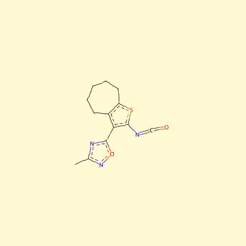 Cc1noc(-c2c(N=C=O)sc3c2CCCCC3)n1